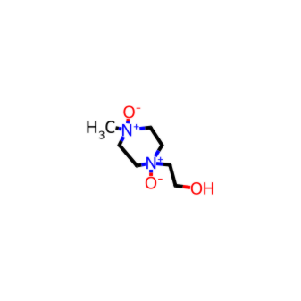 C[N+]1([O-])CC[N+]([O-])(CCO)CC1